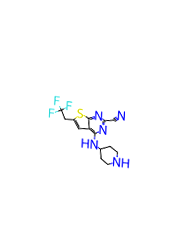 N#Cc1nc(NC2CCNCC2)c2cc(CC(F)(F)F)sc2n1